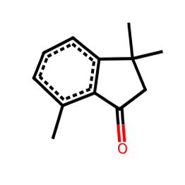 Cc1cccc2c1C(=O)CC2(C)C